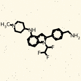 CN1CCC(Nc2cccc3c2cc(-c2ccc(CN)cc2)n3C(F)C(F)F)CC1